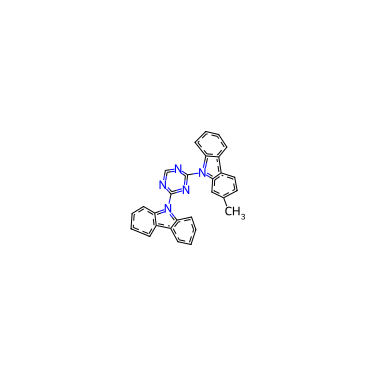 Cc1ccc2c3ccccc3n(-c3ncnc(-n4c5ccccc5c5ccccc54)n3)c2c1